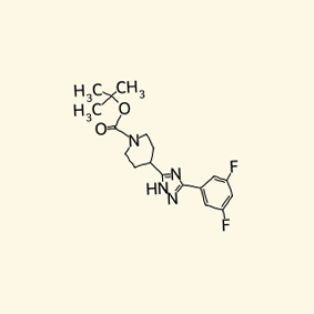 CC(C)(C)OC(=O)N1CCC(c2nc(-c3cc(F)cc(F)c3)n[nH]2)CC1